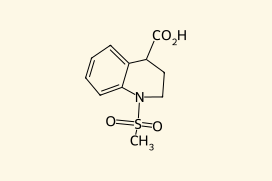 CS(=O)(=O)N1CCC(C(=O)O)c2ccccc21